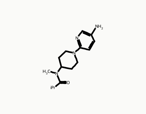 CC(C)C(=O)N(C)C1CCN(c2ccc(N)cn2)CC1